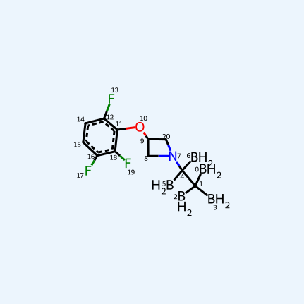 BC(B)(B)C(B)(B)N1CC(Oc2c(F)ccc(F)c2F)C1